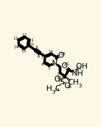 C[C@@](CCn1ccc(C#Cc2ccccc2)cc1=O)(C(=O)NO)S(C)(=O)=O